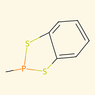 CP1Sc2ccccc2S1